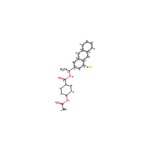 CCC(C)C(=O)OC1CCC(C(=O)OC(C)c2cc(S)c3cc4ccccc4cc3c2)CC1